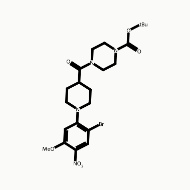 COc1cc(N2CCC(C(=O)N3CCN(C(=O)OC(C)(C)C)CC3)CC2)c(Br)cc1[N+](=O)[O-]